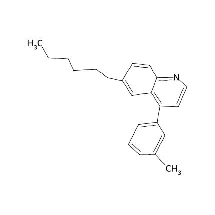 CCCCCCc1ccc2nccc(-c3cccc(C)c3)c2c1